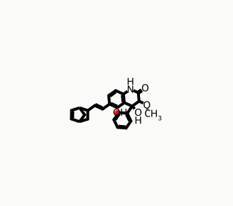 COC1C(=O)Nc2ccc(/C=C/C3CC4C=CC3C4)c(O)c2C1(O)c1ccccc1